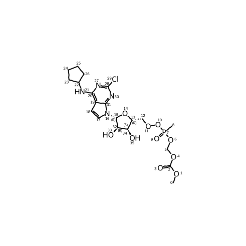 COC(=O)OCOP(C)(=O)OOC[C@H]1O[C@@H](n2ccc3c(NC4CCCC4)nc(Cl)nc32)[C@H](O)[C@@H]1O